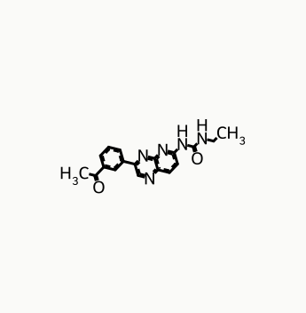 CCNC(=O)Nc1ccc2ncc(-c3cccc(C(C)=O)c3)nc2n1